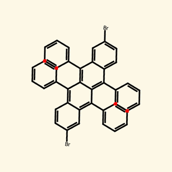 Brc1ccc2c(-c3ccccc3)c3c(-c4ccccc4)c4cc(Br)ccc4c(-c4ccccc4)c3c(-c3ccccc3)c2c1